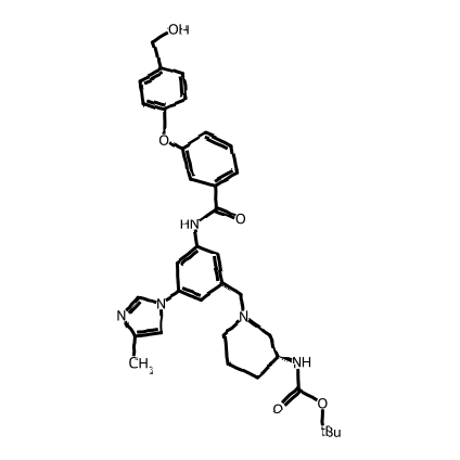 Cc1cn(-c2cc(CN3CCC[C@H](NC(=O)OC(C)(C)C)C3)cc(NC(=O)c3cccc(Oc4ccc(CO)cc4)c3)c2)cn1